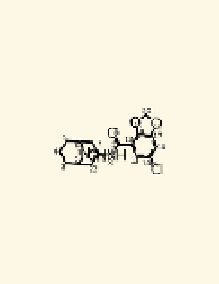 CN1C2CCCC1CC(NC(=O)c1cc(Cl)cc3c1OCO3)C2